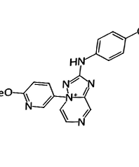 COc1ccc([N+]23C=CN=CC2=NC(Nc2ccc(Cl)cc2)=N3)cn1